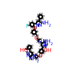 Nc1nnc(-c2ccc(F)cc2Oc2cccc(COC3CN(c4cc(-c5ccc(OC6CCN(c7cc(-c8ccccc8O)nnc7N)C6)cc5O)nnc4N)C3)c2)cc1-c1ccccc1